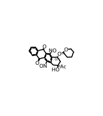 CC(=O)[C@]1(O)Cc2c(N=O)c3c(c(N=O)c2[C@@H](O[C@H]2CCCCO2)C1)C(=O)c1ccccc1C3=O